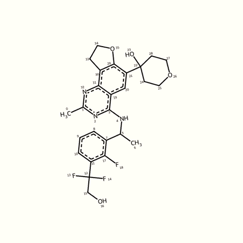 Cc1nc(NC(C)c2cccc(C(F)(F)CO)c2F)c2cc(C3(O)CCOCC3)c3c(c2n1)CCO3